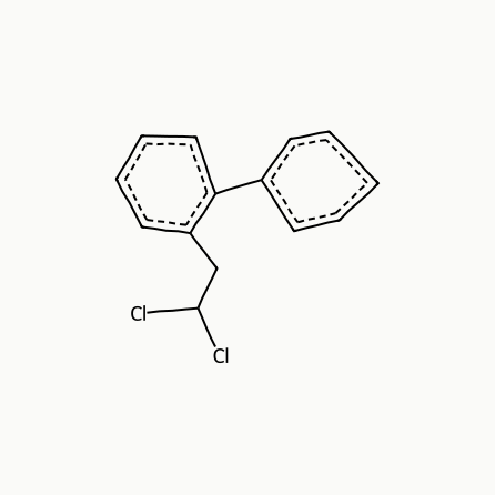 ClC(Cl)Cc1ccccc1-c1ccccc1